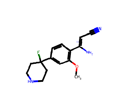 COc1cc(C2(F)CCNCC2)ccc1/C(N)=C/C#N